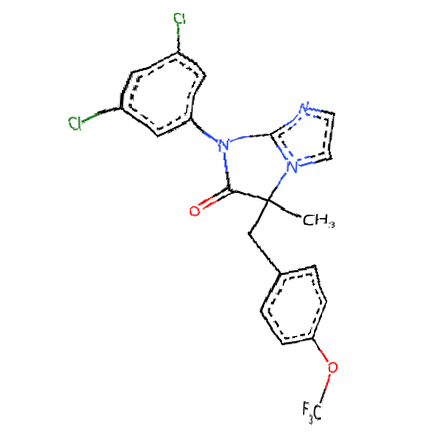 CC1(Cc2ccc(OC(F)(F)F)cc2)C(=O)N(c2cc(Cl)cc(Cl)c2)c2nccn21